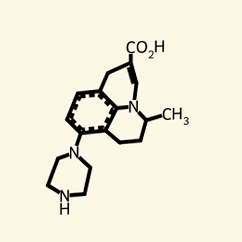 CC1CCc2c(N3CCNCC3)ccc3c2N1C=C(C(=O)O)C3